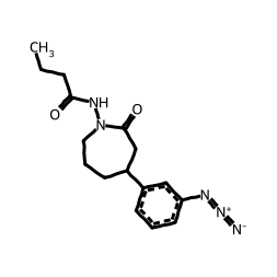 CCCC(=O)NN1CCCC(c2cccc(N=[N+]=[N-])c2)CC1=O